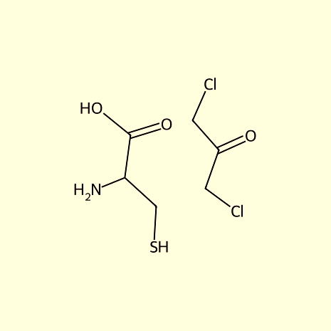 NC(CS)C(=O)O.O=C(CCl)CCl